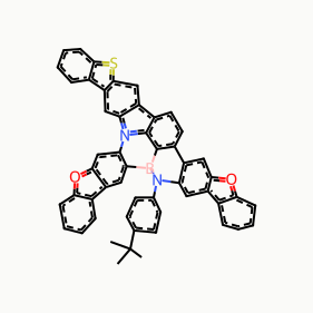 CC(C)(C)c1ccc(N2B3c4cc5c(cc4-n4c6cc7c(cc6c6ccc(c3c64)-c3cc4oc6ccccc6c4cc32)sc2ccccc27)oc2ccccc25)cc1